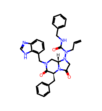 C=CCN(C(=O)NCc1ccccc1)N1CC(=O)N2[C@@H](Cc3ccccc3)C(=O)N(Cc3cccc4nc[nH]c34)C[C@@H]21